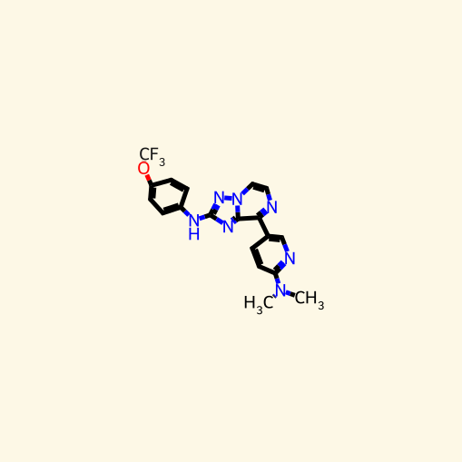 CN(C)c1ccc(-c2nccn3nc(Nc4ccc(OC(F)(F)F)cc4)nc23)cn1